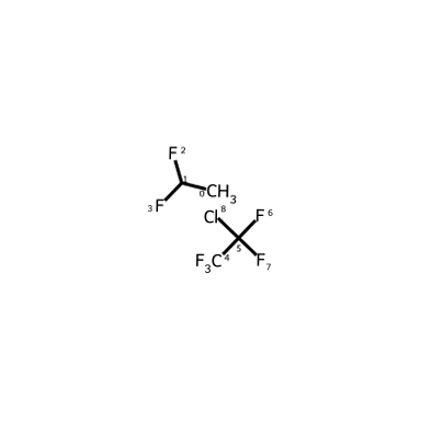 CC(F)F.FC(F)(F)C(F)(F)Cl